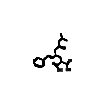 CC(C)CC(=O)CC(/C=C/c1ccccc1)CC(C(=O)O)C(=O)O